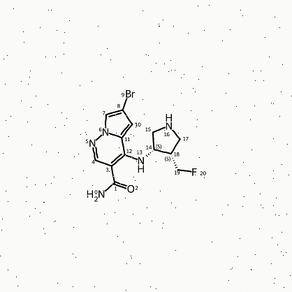 NC(=O)c1cnn2cc(Br)cc2c1N[C@@H]1CNC[C@@H]1CF